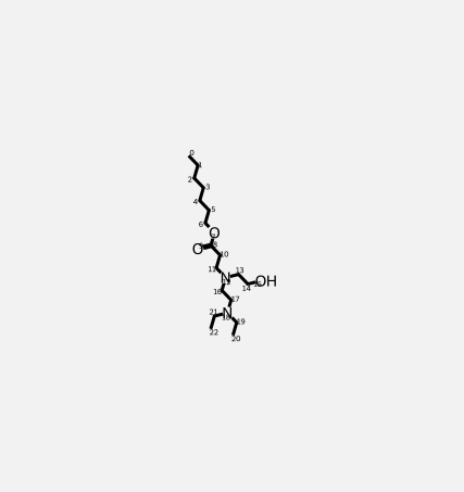 CCCCCCCOC(=O)CCN(CCO)CCN(CC)CC